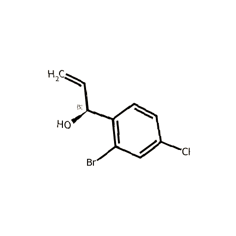 C=C[C@H](O)c1ccc(Cl)cc1Br